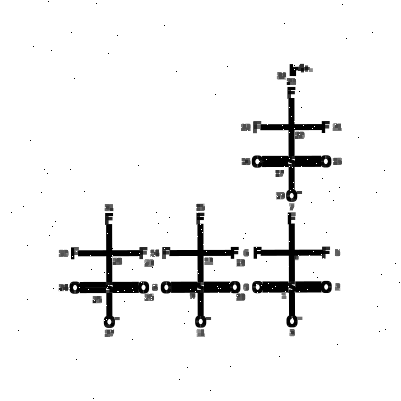 O=S(=O)([O-])C(F)(F)F.O=S(=O)([O-])C(F)(F)F.O=S(=O)([O-])C(F)(F)F.O=S(=O)([O-])C(F)(F)F.[Ir+4]